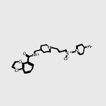 CCCC1CCN([S+]([O-])CCCN2CCC(CNC(=O)c3cccc4c3OCCO4)CC2)CC1